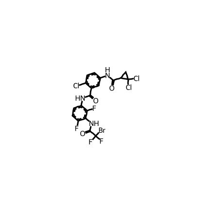 O=C(Nc1ccc(F)c(NC(=O)C(F)(F)Br)c1F)c1cc(NC(=O)C2CC2(Cl)Cl)ccc1Cl